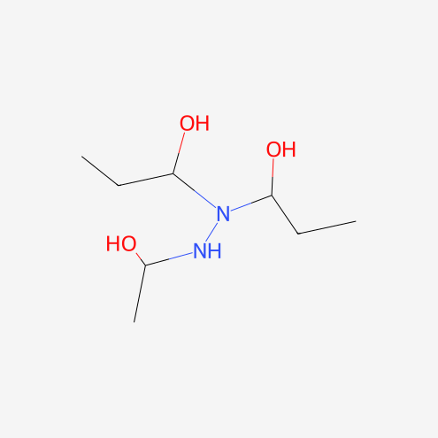 CCC(O)N(NC(C)O)C(O)CC